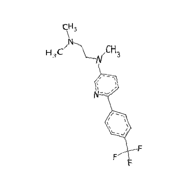 CN(C)CCN(C)c1ccc(-c2ccc(C(F)(F)F)cc2)nc1